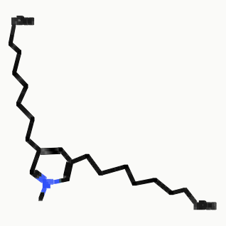 CCCCCCCCCCCCCCCCCc1cc(CCCCCCCCCCCCCCCCC)c[n+](C)c1